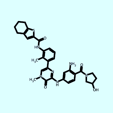 Cc1c(NC(=O)c2cc3c(s2)CCCC3)cccc1-c1cn(C)c(=O)c(Nc2ccc(C(=O)N3CCC(O)C3)c(N)c2)n1